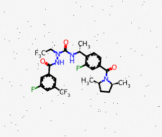 C[C@@H]1CC[C@H](C)N1C(=O)c1ccc([C@@H](C)NC(=O)N(CC(F)(F)F)NC(=O)c2cc(F)cc(C(F)(F)F)c2)c(F)c1